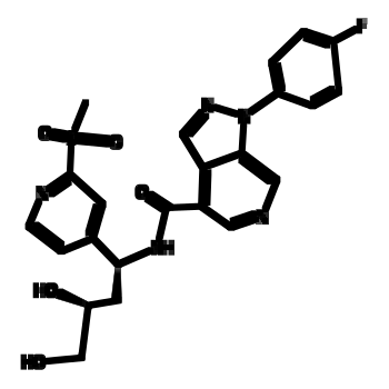 CS(=O)(=O)c1cc([C@H](C[C@H](O)CO)NC(=O)c2cncc3c2cnn3-c2ccc(F)cc2)ccn1